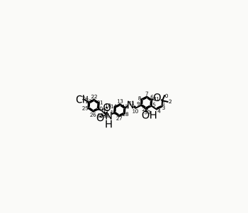 CC1(C)C=Cc2c(ccc(/C=N/c3ccc(NS(=O)(=O)c4ccc(Cl)cc4)cc3)c2O)O1